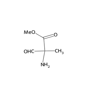 COC(=O)C(C)(N)C=O